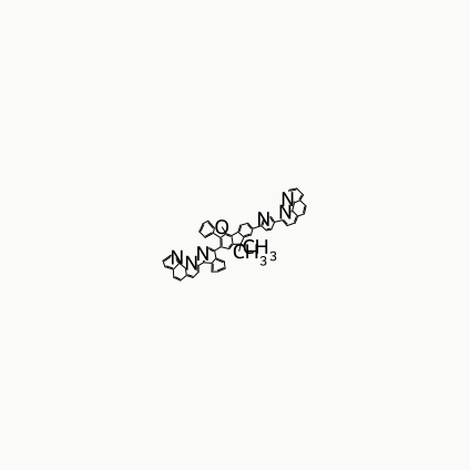 CC1(C)c2cc(-c3ccc(-c4ccc5ccc6cccnc6c5n4)cn3)ccc2-c2c1cc(-c1cnc(-c3ccc4ccc5cccnc5c4n3)c3ccccc13)c1c2oc2ccccc21